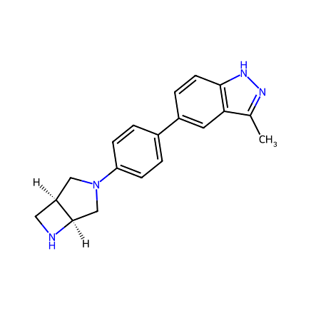 Cc1n[nH]c2ccc(-c3ccc(N4C[C@@H]5CN[C@@H]5C4)cc3)cc12